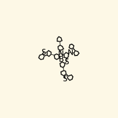 c1ccc(-c2ccc(N3c4cc(-c5ccc6sc7ccccc7c6c5)ccc4B4c5ccc(-c6ccc7sc8ccccc8c7c6)cc5Sc5cc(-n6c7ccccc7c7ccccc76)cc3c54)cc2)cc1